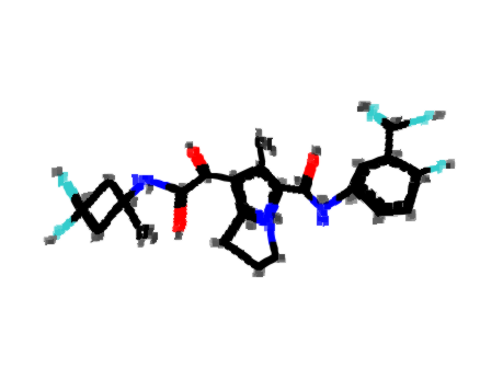 Cc1c(C(=O)C(=O)NC2(C)CC(F)(F)C2)c2n(c1C(=O)Nc1ccc(F)c(C(F)F)c1)CCC2